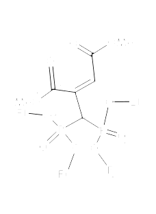 CCOP(=O)(OCC)C(/C(=C/C(=O)OC)C(=O)OC)P(=O)(OCC)OCC